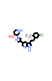 OC1CCNCC1n1cc(-c2cnc3[nH]cc(/C=C/c4cc(Cl)ccc4C(F)(F)F)c3c2)cn1